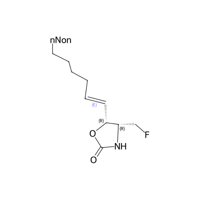 CCCCCCCCCCCCC/C=C/[C@H]1OC(=O)N[C@H]1CF